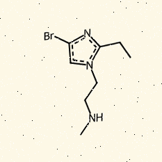 CCc1nc(Br)cn1CCNC